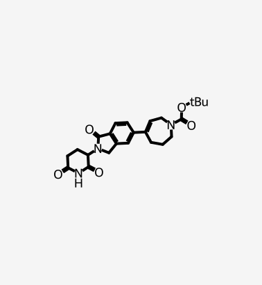 CC(C)(C)OC(=O)N1CC=C(c2ccc3c(c2)CN(C2CCC(=O)NC2=O)C3=O)CCC1